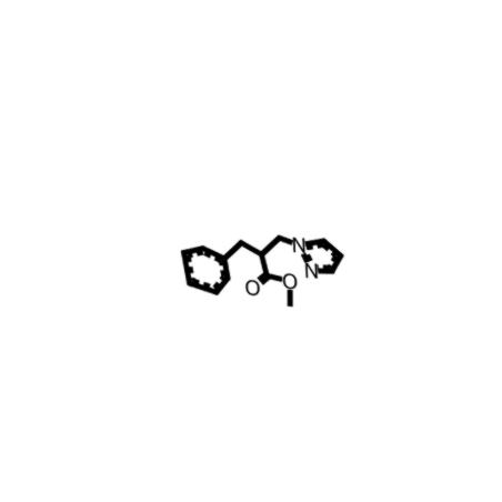 COC(=O)C(Cc1ccccc1)Cn1cccn1